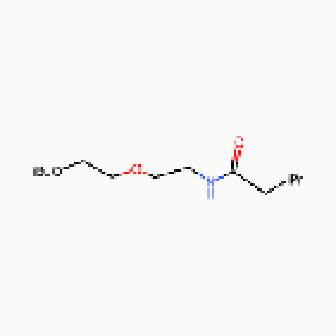 CC(C)COCCOCCNC(=O)CC(C)C